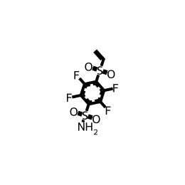 C=CS(=O)(=O)c1c(F)c(F)c(S(N)(=O)=O)c(F)c1F